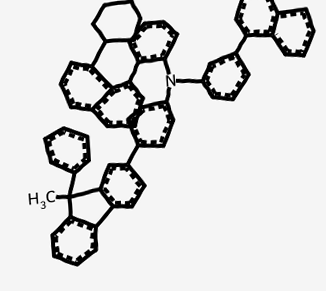 CC1(c2ccccc2)c2ccccc2-c2ccc(-c3ccc(N(c4cccc(-c5cccc6ccccc56)c4)c4ccccc4-c4cccc5cccc(C6CCCCC6)c45)cc3)cc21